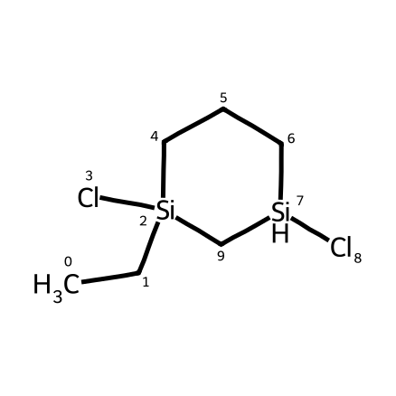 CC[Si]1(Cl)CCC[SiH](Cl)C1